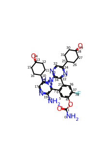 NC(=O)Oc1cc(-c2nc(C3CCC(=O)CC3)cnc2N)c(-c2nc(C3CCC(=O)CC3)cnc2N)cc1F